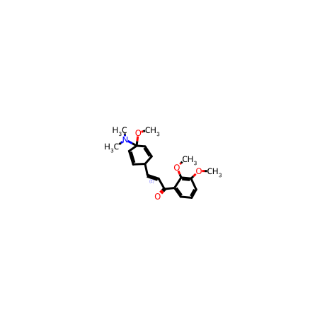 COc1cccc(C(=O)/C=C/C2C=CC(OC)(N(C)C)C=C2)c1OC